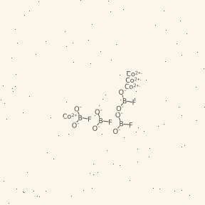 [Co+2].[Co+2].[Co+2].[Co+2].[O-]B([O-])F.[O-]B([O-])F.[O-]B([O-])F.[O-]B([O-])F